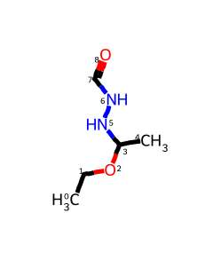 CCOC(C)NNC=O